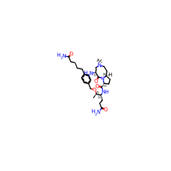 CC(=O)N1CC[C@H]2CC[C@@H](C(=O)N[C@@H](CCC(N)=O)[C@@H](C)OCc3ccc(CCCCC(N)=O)cc3)N2C(=O)[C@@H](N)C1